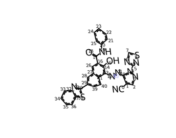 N#Cc1cnn(-c2ncsn2)c1/N=N/c1c(O)c(C(=O)Nc2ccccc2)cc2cc(-c3nc4ccccc4s3)ccc12